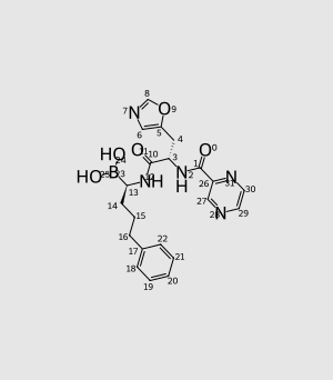 O=C(N[C@@H](Cc1cnco1)C(=O)N[C@@H](CCCc1ccccc1)B(O)O)c1cnccn1